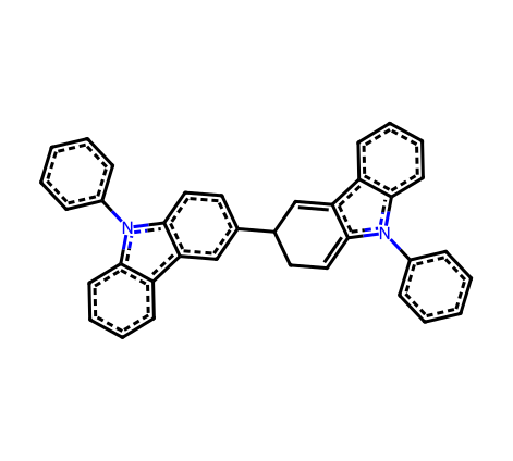 C1=c2c(n(-c3ccccc3)c3ccccc23)=CCC1c1ccc2c(c1)c1ccccc1n2-c1ccccc1